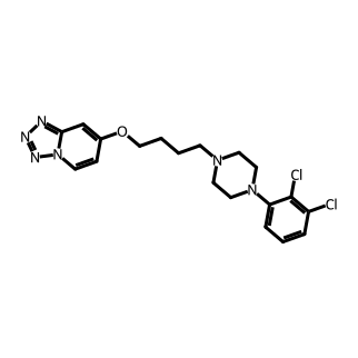 Clc1cccc(N2CCN(CCCCOc3ccn4nnnc4c3)CC2)c1Cl